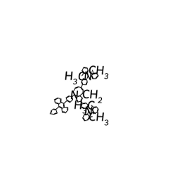 C=C1/C=C(c2ccc(N(c3ccccc3C)c3ccccc3C)cc2)\C=C/CN(c2ccc(-c3c4ccccc4c(-c4ccccc4)c4ccccc34)cc2)c2ccc(-c3ccc(N(c4ccccc4C)c4ccccc4C)cc3)cc21